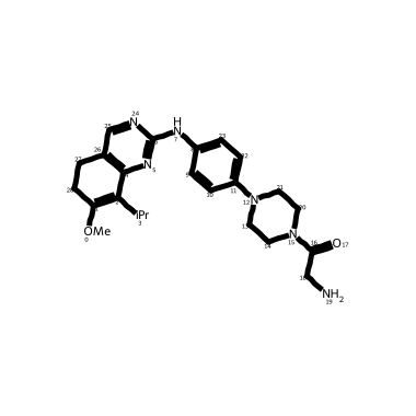 COC1=C(C(C)C)c2nc(Nc3ccc(N4CCN(C(=O)CN)CC4)cc3)ncc2CC1